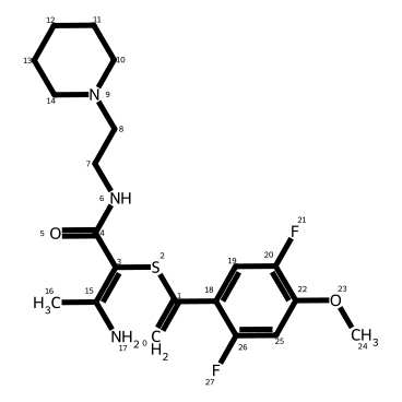 C=C(S/C(C(=O)NCCN1CCCCC1)=C(/C)N)c1cc(F)c(OC)cc1F